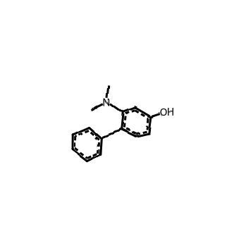 CN(C)c1cc(O)ccc1-c1ccccc1